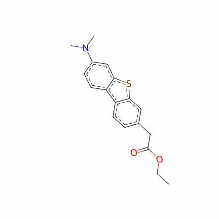 CCOC(=O)Cc1ccc2c(c1)sc1cc(N(C)C)ccc12